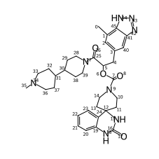 Cc1cc(CC(OC(=O)N2CCC3(CC2)NC(=O)Nc2ccccc23)C(=O)N2CCC(C3CCN(C)CC3)CC2)cc2nn[nH]c12